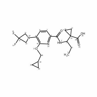 CCC(NC(=O)c1ccc(N2CC(F)(F)C2)c(OCC2CC2)n1)C1(C(=O)O)CC1